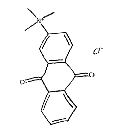 C[N+](C)(C)c1ccc2c(c1)C(=O)c1ccccc1C2=O.[Cl-]